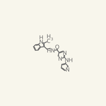 Cc1[nH]c2ccccc2c1CCNC(=O)c1cnc(Nc2cccnc2)nc1